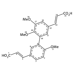 COc1ccc(/C=C/C(=O)O)cc1-c1cc(/C=C/C(=O)O)cc(OC)c1OC